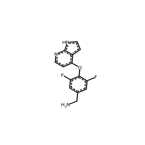 NCc1cc(F)c(Oc2ccnc3[nH]ccc23)c(F)c1